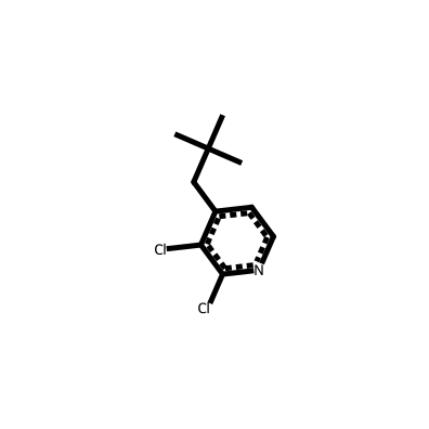 CC(C)(C)Cc1ccnc(Cl)c1Cl